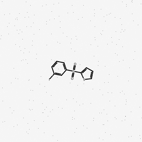 O=S(=O)(c1cccc(I)c1)c1cccs1